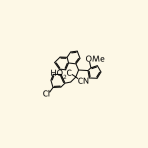 COc1ccccc1C(c1cccc2ccccc12)C(C#N)(Cc1cccc(Cl)c1)C(=O)O